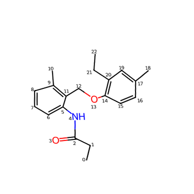 CCC(=O)Nc1cccc(C)c1COc1ccc(C)cc1CC